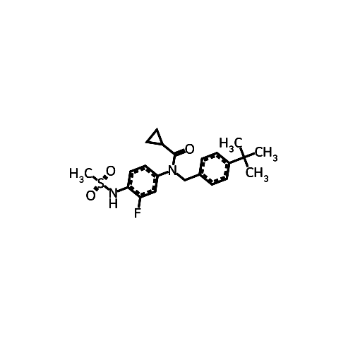 CC(C)(C)c1ccc(CN(C(=O)C2CC2)c2ccc(NS(C)(=O)=O)c(F)c2)cc1